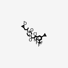 COC1CC1CC(C)N1CCN(C(=O)c2nn3c(C(F)(F)F)cc(C4CC4)cc3c2Cl)CC1=O